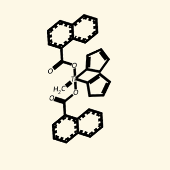 [CH2]=[Ti]([O]C(=O)c1cccc2ccccc12)([O]C(=O)c1cccc2ccccc12)([C]1=CC=CC1)[C]1=CC=CC1